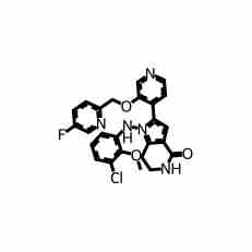 COc1c(Cl)cccc1Nn1c(-c2ccncc2OCc2ccc(F)cn2)cc2c1CCNC2=O